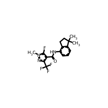 Cn1nc(C(F)(F)F)c(C(=O)Nc2cccc3c2CCC3(C)C)c1F